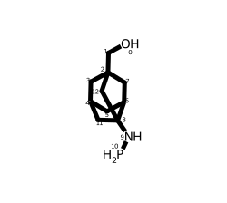 OCC12CC3CC(C1)C(NP)(C3)C2